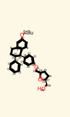 CC(C)(C)Oc1ccc2c(c1)CC[C@H](c1ccccc1)[C@@H]2c1ccc(OCC2CC[C@@H](CO)O2)cc1